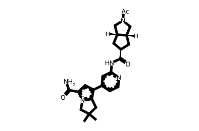 CC(=O)N1C[C@H]2C[C@H](C(=O)Nc3cc(-c4cc(C(N)=O)n5c4CC(C)(C)C5)ccn3)C[C@H]2C1